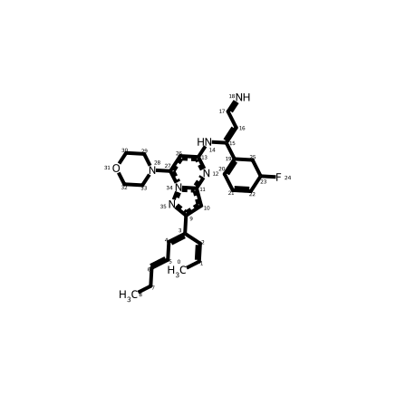 C\C=C/C(=C\C=C\CC)c1cc2nc(N/C(=C\C=N)C3=CC=CC(F)C3)cc(N3CCOCC3)n2n1